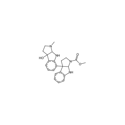 COC(=O)N1CCC2(c3cccc4c3NC3N(C)CCC43O)c3ccccc3NC12